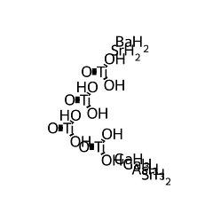 [AsH3].[BaH2].[GaH3].[GaH3].[O]=[Ti]([OH])[OH].[O]=[Ti]([OH])[OH].[O]=[Ti]([OH])[OH].[O]=[Ti]([OH])[OH].[SrH2].[SrH2]